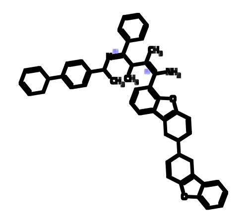 C/C(=C(\N)c1cccc2c3c(oc12)C=CC(C1C=Cc2oc4ccccc4c2C1)C3)C(C)/C(=N\C(C)c1ccc(C2C=CC=CC2)cc1)c1ccccc1